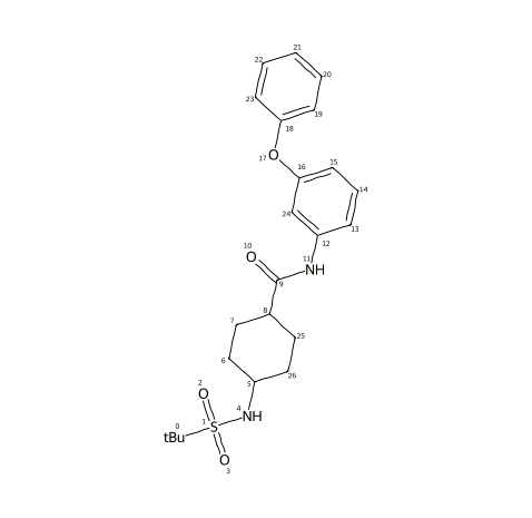 CC(C)(C)S(=O)(=O)NC1CCC(C(=O)Nc2cccc(Oc3ccccc3)c2)CC1